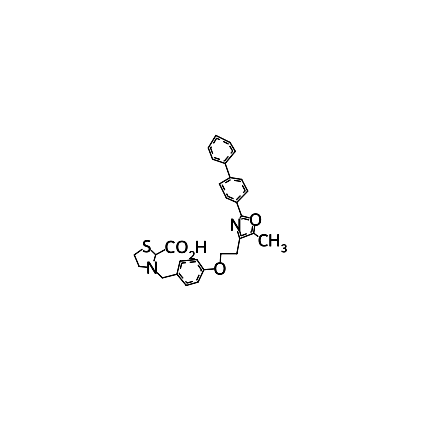 Cc1oc(-c2ccc(-c3ccccc3)cc2)nc1CCOc1ccc(CN2CCSC2C(=O)O)cc1